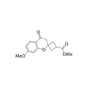 COC(=O)C1CC2(CC(=O)c3ccc(OC)cc3O2)C1